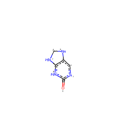 O=c1ncc2c([nH]1)N[C]N2